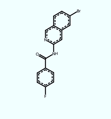 O=C(Nc1cc2cc(Br)ccc2cn1)c1ccc(F)cc1